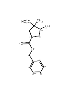 CC1(C(=O)O)CN(C(=O)OCc2ccccc2)CC1O